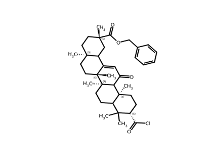 CC1(C)C2CC[C@]3(C)C(C(=O)C=C4C5C[C@@](C)(C(=O)OCc6ccccc6)CC[C@]5(C)CC[C@]43C)[C@@]2(C)CC[C@@H]1C(=O)Cl